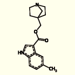 Cc1ccc2[nH]cc(C(=O)OCC34CCN(CC3)C4)c2c1